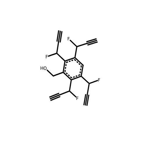 C#CC(F)c1cc(C(F)C#C)c(C(F)C#C)c(CO)c1C(F)C#C